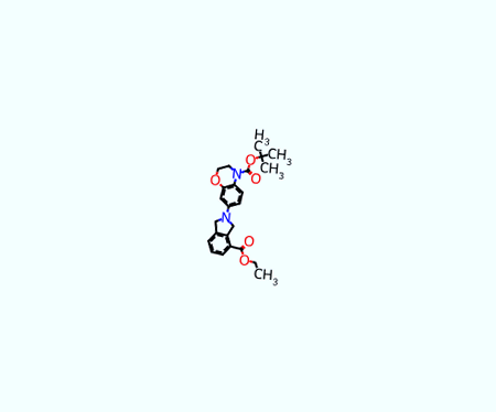 CCOC(=O)c1cccc2c1CN(c1ccc3c(c1)OCCN3C(=O)OC(C)(C)C)C2